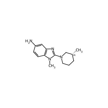 C[C@@H]1CCCN(c2nc3cc(N)ccc3n2C)C1